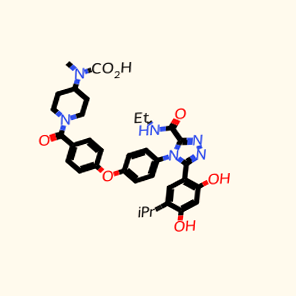 CCNC(=O)c1nnc(-c2cc(C(C)C)c(O)cc2O)n1-c1ccc(Oc2ccc(C(=O)N3CCC(N(C)C(=O)O)CC3)cc2)cc1